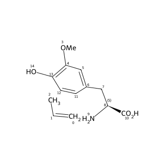 C=CC.COc1cc(C[C@H](N)C(=O)O)ccc1O